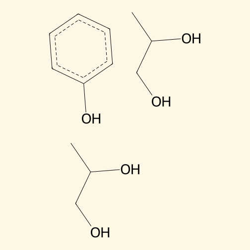 CC(O)CO.CC(O)CO.Oc1ccccc1